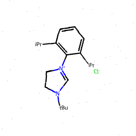 CC(C)c1cccc(C(C)C)c1[N+]1=CN(C(C)(C)C)CC1.[Cl-]